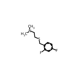 CN(C)CCSCc1ccc(F)cc1F